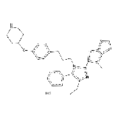 CCc1nc(-c2cc3sccc3n2C)n(CCCc2ccc(OC3CCNCC3)cc2)c1-c1ccccc1.Cl